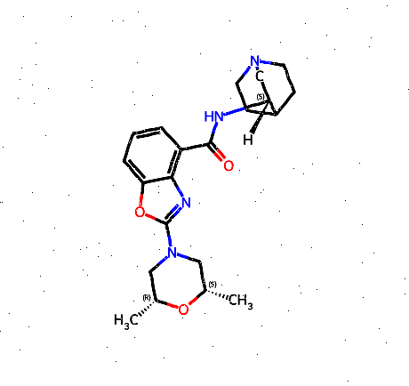 C[C@@H]1CN(c2nc3c(C(=O)N[C@@H]4CN5CCC4CC5)cccc3o2)C[C@H](C)O1